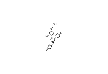 N#Cc1cc(OCCO)ccc1N1CCN(Cc2cc[n+]([O-])cc2)C[C@H]1c1ccc(Cl)cc1